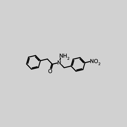 NN(Cc1ccc([N+](=O)[O-])cc1)C(=O)Cc1ccccc1